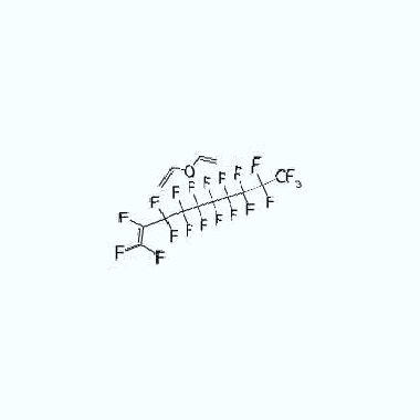 C=COC=C.FC(F)=C(F)C(F)(F)C(F)(F)C(F)(F)C(F)(F)C(F)(F)C(F)(F)C(F)(F)C(F)(F)F